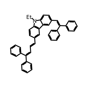 CCn1c2ccc(C=CC=C(c3ccccc3)c3ccccc3)cc2c2cc(C=C(c3ccccc3)c3ccccc3)ccc21